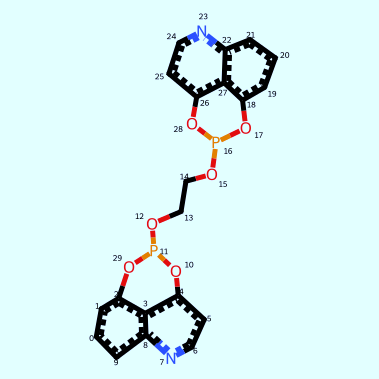 c1cc2c3c(ccnc3c1)OP(OCCOP1Oc3cccc4nccc(c34)O1)O2